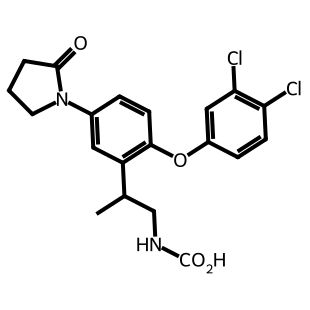 CC(CNC(=O)O)c1cc(N2CCCC2=O)ccc1Oc1ccc(Cl)c(Cl)c1